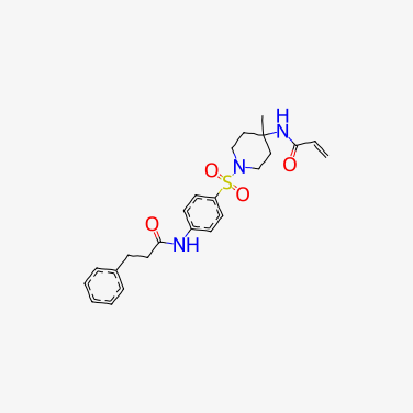 C=CC(=O)NC1(C)CCN(S(=O)(=O)c2ccc(NC(=O)CCc3ccccc3)cc2)CC1